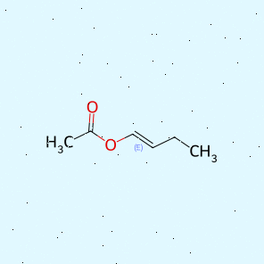 CC/C=C/OC(C)=O